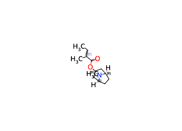 C/C=C(\C)C(=O)O[C@H]1C[C@H]2CC[C@@H](C1)N2C